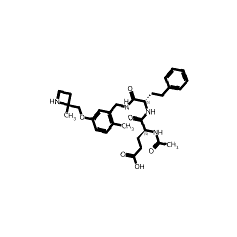 CC(=O)N[C@@H](CCC(=O)O)C(=O)N[C@@H](CCc1ccccc1)C(=O)NCc1cc(OCC2(C)CCN2)ccc1C